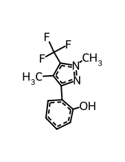 Cc1c(-c2ccccc2O)nn(C)c1C(F)(F)F